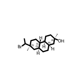 CC(Br)[C@@]1(C)CC[C@H]2[C@@H](CC[C@@H]3C[C@](C)(O)CC[C@@H]32)C1